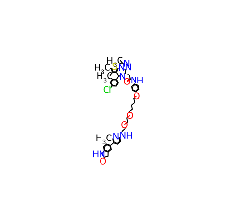 Cc1nc(NCCOCCOCCCCCOc2ccc(NC(=O)C[C@@H]3N=C(c4ccc(Cl)cc4)c4c(sc(C)c4C)-n4c(C)nnc43)cc2)ccc1-c1ccc2c(c1)CC(=O)N2